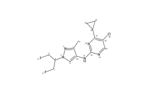 Cc1nn(C(CF)CF)cc1Nc1ncc(Cl)c(C2CC2)n1